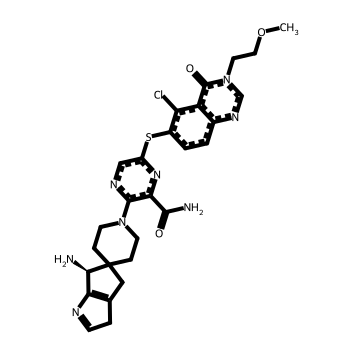 COCCn1cnc2ccc(Sc3cnc(N4CCC5(CC4)CC4=C(N=CC4)[C@H]5N)c(C(N)=O)n3)c(Cl)c2c1=O